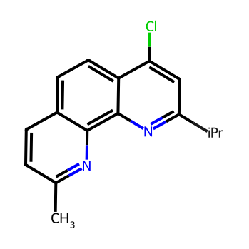 Cc1ccc2ccc3c(Cl)cc(C(C)C)nc3c2n1